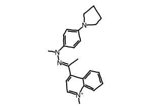 C/C(=N\N(C)c1ccc(N2CCCC2)cc1)c1cc[n+](C)c2ccccc12